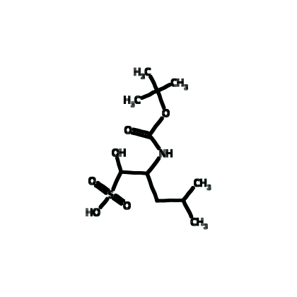 CC(C)CC(NC(=O)OC(C)(C)C)C(O)S(=O)(=O)O